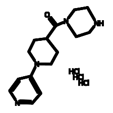 Cl.Cl.Cl.O=C(C1CCN(c2ccncc2)CC1)N1CCNCC1